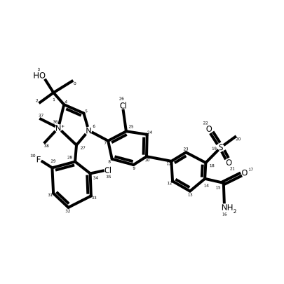 CC(C)(O)C1=CN(c2ccc(-c3ccc(C(N)=O)c(S(C)(=O)=O)c3)cc2Cl)C(c2c(F)cccc2Cl)[N+]1(C)C